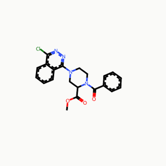 COC(=O)C1CN(c2nnc(Cl)c3ccccc23)CCN1C(=O)c1ccccc1